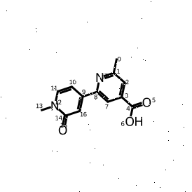 Cc1cc(C(=O)O)cc(-c2ccn(C)c(=O)c2)n1